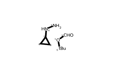 CC(C)(C)OC=O.NNC1CC1